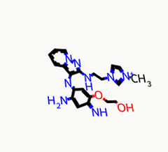 C[n+]1ccn(CCNc2nn3ccccc3c2/N=C2\C=C(OCCO)C(=N)C=C2N)c1